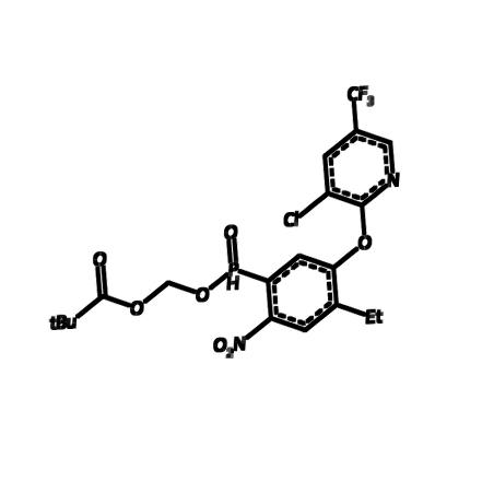 CCc1cc([N+](=O)[O-])c([PH](=O)OCOC(=O)C(C)(C)C)cc1Oc1ncc(C(F)(F)F)cc1Cl